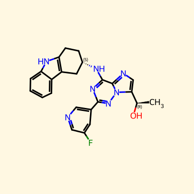 C[C@@H](O)c1cnc2c(N[C@H]3CCc4[nH]c5ccccc5c4C3)nc(-c3cncc(F)c3)nn12